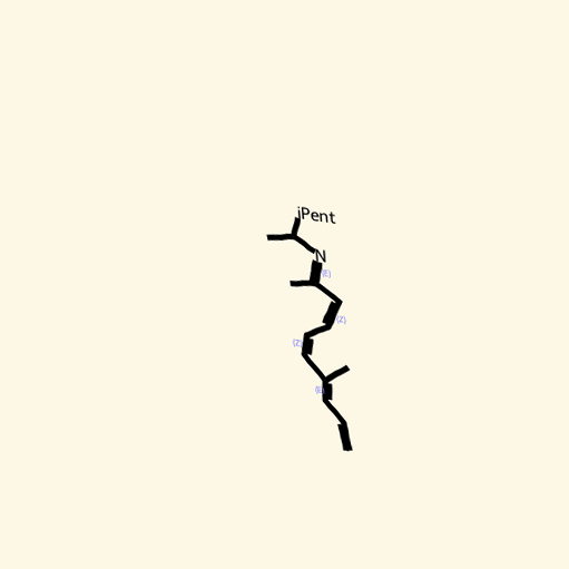 C=C/C=C(C)/C=C\C=C/C(C)=N/C(C)C(C)CCC